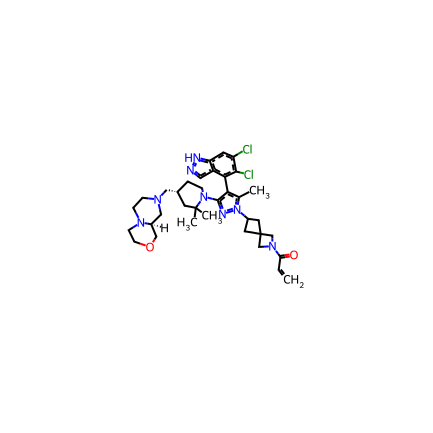 C=CC(=O)N1CC2(CC(n3nc(N4CC[C@@H](CN5CCN6CCOC[C@@H]6C5)CC4(C)C)c(-c4c(Cl)c(Cl)cc5[nH]ncc45)c3C)C2)C1